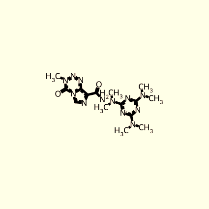 CN(C)c1nc(N(C)C)nc(N(C)C)n1.Cn1nnc2c(C(N)=O)ncn2c1=O